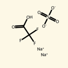 O=C(O)C(F)(F)F.O=S(=O)([O-])[O-].[Na+].[Na+]